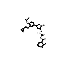 CC(=O)N1CC(c2ccc(OC(F)F)c(OCC3CC3)c2)C[C@@H]1CNC(=O)OC(=O)c1cccnc1C